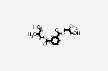 CC(CO)COC(=O)c1cccc(C(=O)OCC(C)CO)c1